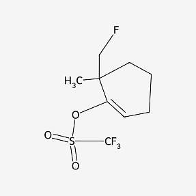 CC1(CF)CCCC=C1OS(=O)(=O)C(F)(F)F